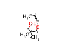 C/C=C\B1OCC(C)(C)CO1